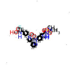 CN(C)S(=O)(=O)NC(=O)c1cc2cc(NC(=O)[C@@H]3[C@@H](c4ccccc4)CCN3C(=O)[C@H]3CC[C@H]([C@@H](CF)NC(=O)O)CC3)ccc2[nH]1